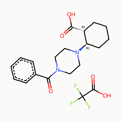 O=C(O)C(F)(F)F.O=C(O)[C@@H]1CCCC[C@H]1N1CCN(C(=O)c2ccccc2)CC1